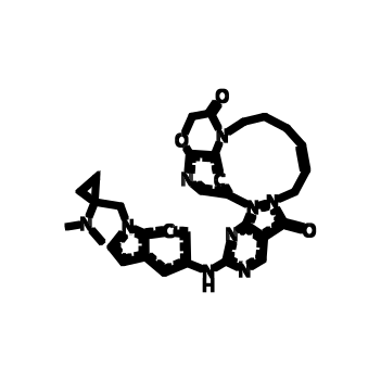 CN(C)C1(Cn2ccc3cc(Nc4ncc5c(=O)n6n(c5n4)-c4cnc5c(c4)N(CCC/C=C\C6)C(=O)CO5)ccc32)CC1